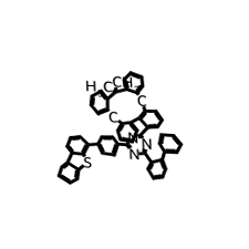 CC1(C)c2ccccc2Cc2ccccc2-c2c(cccc2-c2nc(-c3ccc(-c4cccc5c4sc4ccccc45)cc3)nc(-c3ccccc3-c3ccccc3)n2)Cc2ccccc21